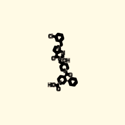 O=C(O)N1CC[C@@H](C(=O)N2CCC(O)(Cn3cnc4c(ccn4Cc4cccc(Cl)c4)c3=O)CC2)[C@H](c2ccccc2)C1